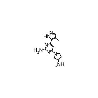 CNC1CCN(c2cc(-c3[nH]ncc3C)nc(N)n2)C1